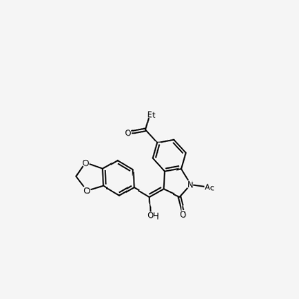 CCC(=O)c1ccc2c(c1)/C(=C(/O)c1ccc3c(c1)OCO3)C(=O)N2C(C)=O